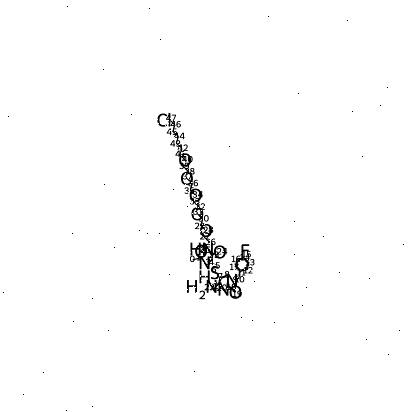 CC(=O)N[C@@H](CSc1cn(Cc2ccc(F)cc2)c(=O)nc1N)C(=O)NCCOCCOCCOCCOCCOCCCCCCCl